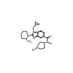 CCN1CCC(N(CC)C(=O)c2ccc3c(c2)nc(N2CCCCC2C)n3CC2CC2)CC1